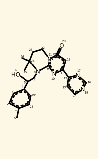 Cc1ccc(C(O)CN2c3nc(-c4ccncn4)cc(=O)n3CCC2(C)C)cc1